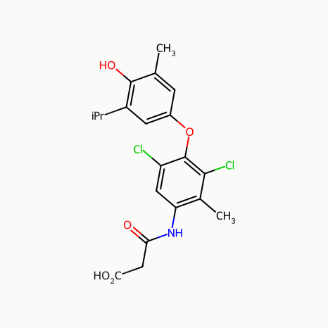 Cc1cc(Oc2c(Cl)cc(NC(=O)CC(=O)O)c(C)c2Cl)cc(C(C)C)c1O